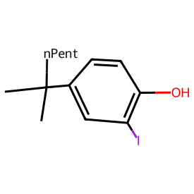 CCCCCC(C)(C)c1ccc(O)c(I)c1